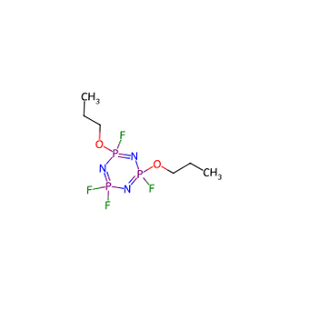 CCCOP1(F)=NP(F)(F)=NP(F)(OCCC)=N1